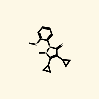 COc1ccccc1-n1c(=O)c(C2CC2)c(C2CC2)n1C